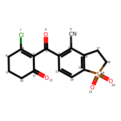 N#Cc1c(C(=O)C2=C(Cl)CCCC2=O)ccc2c1CCS2(=O)=O